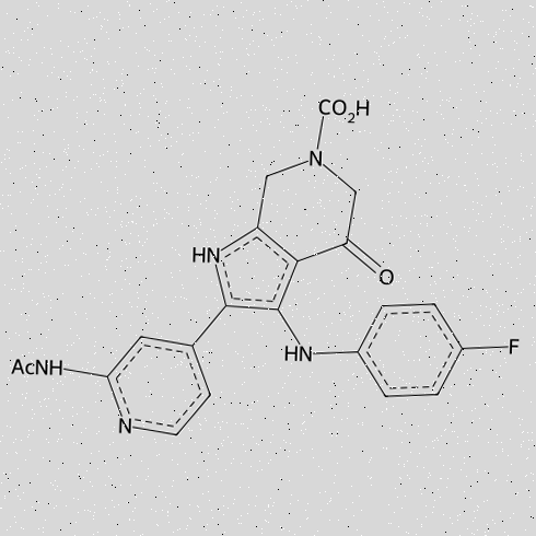 CC(=O)Nc1cc(-c2[nH]c3c(c2Nc2ccc(F)cc2)C(=O)CN(C(=O)O)C3)ccn1